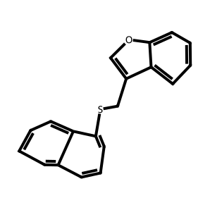 c1ccc2c(SCc3coc4ccccc34)cccc2c1